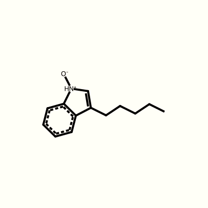 CCCCCC1=C[NH+]([O-])c2ccccc21